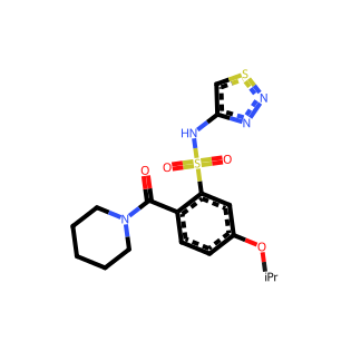 CC(C)Oc1ccc(C(=O)N2CCCCC2)c(S(=O)(=O)Nc2csnn2)c1